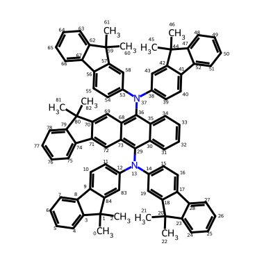 CC1(C)c2ccccc2-c2ccc(N(c3ccc4c(c3)C(C)(C)c3ccccc3-4)c3c4ccccc4c(N(c4ccc5c(c4)C(C)(C)c4ccccc4-5)c4ccc5c(c4)C(C)(C)c4ccccc4-5)c4cc5c(cc34)-c3ccccc3C5(C)C)cc21